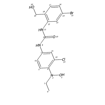 CCN(O)c1ccc(NC(=O)Nc2cc(Br)ccc2CO)cc1Cl